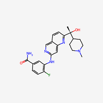 CN1CCC([C@@](C)(O)c2ccc3cnc(Nc4cc(C(N)=O)ccc4F)cc3n2)CC1